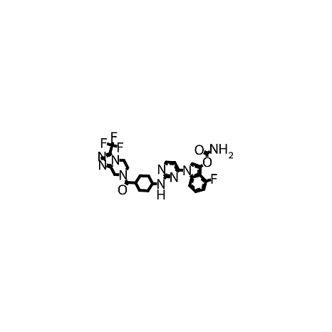 NC(=O)Oc1cn(-c2ccnc(NC3CCC(C(=O)N4CCn5c(nnc5C(F)(F)F)C4)CC3)n2)c2cccc(F)c12